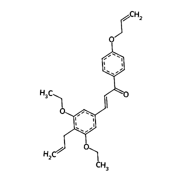 C=CCOc1ccc(C(=O)C=Cc2cc(OCC)c(CC=C)c(OCC)c2)cc1